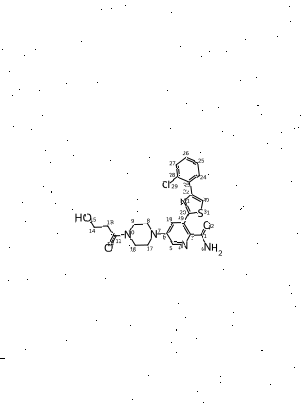 NC(=O)c1ncc(N2CCN(C(=O)CCO)CC2)cc1-c1nc(-c2ccccc2Cl)cs1